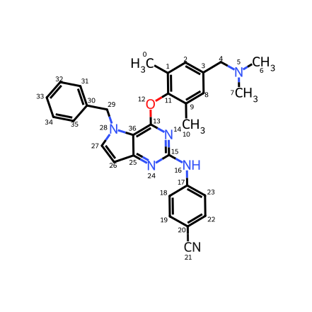 Cc1cc(CN(C)C)cc(C)c1Oc1nc(Nc2ccc(C#N)cc2)nc2ccn(Cc3ccccc3)c12